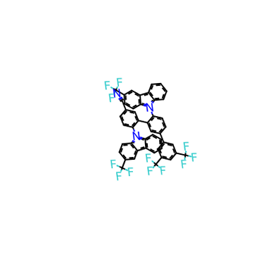 N#Cc1ccc(-n2c3ccccc3c3cc(C(F)(F)F)ccc32)c(-c2cc(-c3cc(C(F)(F)F)cc(C(F)(F)F)c3)ccc2-n2c3ccccc3c3cc(C(F)(F)F)ccc32)c1